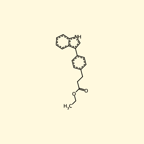 CCOC(=O)CCc1ccc(-c2c[nH]c3ccccc23)cc1